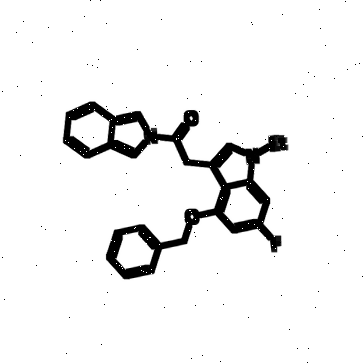 CCn1cc(CC(=O)n2cc3ccccc3c2)c2c(OCc3ccccc3)cc(F)cc21